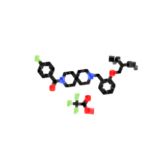 CC(C)COc1ccccc1CN1CCC2(CC1)CCN(C(=O)c1ccc(F)cc1)CC2.O=C(O)C(F)(F)F